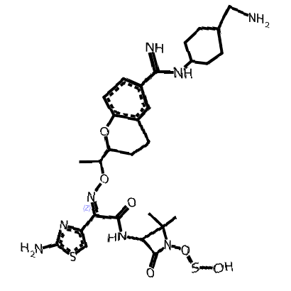 CC(O/N=C(\C(=O)NC1C(=O)N(OSO)C1(C)C)c1csc(N)n1)C1CCc2cc(C(=N)NC3CCC(CN)CC3)ccc2O1